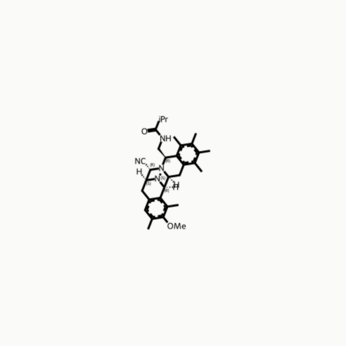 COc1c(C)cc2c(c1C)[C@@H]1[C@@H]3Cc4c(C)c(C)c(C)c(C)c4[C@H](CNC(=O)C(C)C)N3[C@@H](C#N)[C@H](C2)N1C